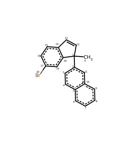 CC1(c2ccc3ccccc3c2)C=Cc2ccc(Br)cc21